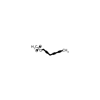 CC#CC#CCC#CCOS(C)(=O)=O